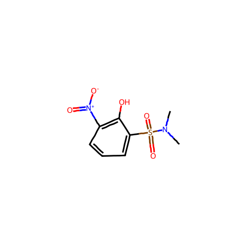 CN(C)S(=O)(=O)c1cccc([N+](=O)[O-])c1O